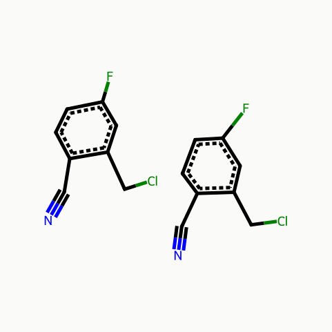 N#Cc1ccc(F)cc1CCl.N#Cc1ccc(F)cc1CCl